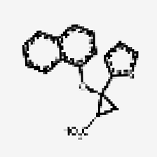 O=C(O)[C@H]1C[C@@]1(Oc1cccc2ccccc12)c1cccs1